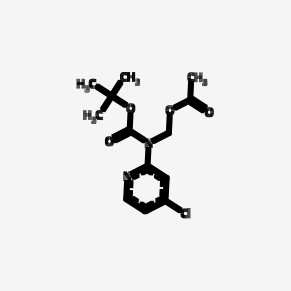 CC(=O)OCN(C(=O)OC(C)(C)C)c1cc(Cl)ccn1